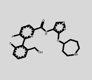 O=C(Nc1cnsc1OC1CCCNCC1)c1ccc(F)c(-c2c(F)cccc2CO)n1